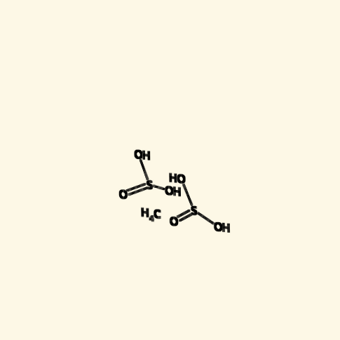 C.O=S(O)O.O=S(O)O